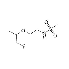 CC(CF)OCCNS(C)(=O)=O